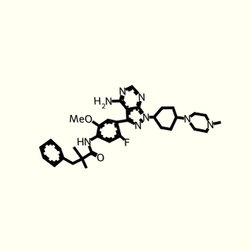 COc1cc(-c2nn(C3CCC(N4CCN(C)CC4)CC3)c3ncnc(N)c23)c(F)cc1NC(=O)C(C)(C)Cc1ccccc1